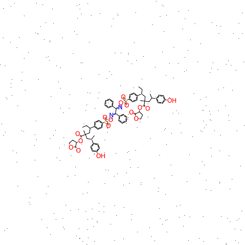 CCC(CC(C)(CC(C)c1ccc(O)cc1)C(=O)OC1CCOC1=O)c1ccc(S(=O)(=O)O/N=C(/C(=N/OS(=O)(=O)c2ccc(C(CC)CC(C)(CC(C)c3ccc(O)cc3)C(=O)OC3CCOC3=O)cc2)c2ccccc2)c2ccccc2)cc1